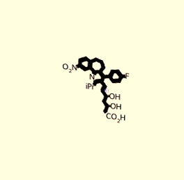 CC(C)c1nc2c(c(-c3ccc(F)cc3)c1/C=C/[C@@H](O)C[C@@H](O)CC(=O)O)CCCc1ccc([N+](=O)[O-])cc1-2